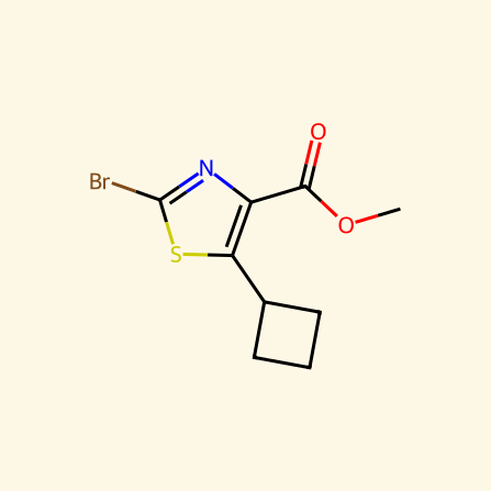 COC(=O)c1nc(Br)sc1C1CCC1